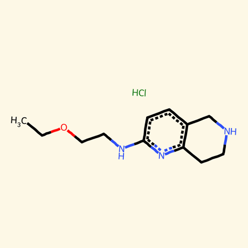 CCOCCNc1ccc2c(n1)CCNC2.Cl